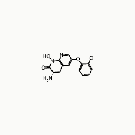 N[C@H]1Cc2cc(Oc3ccccc3Cl)cnc2N(O)C1=O